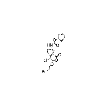 O=C(Nc1ccc2c(Cl)c(OCCBr)oc(=O)c2c1)Oc1ccccc1